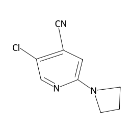 N#Cc1cc(N2CCC2)ncc1Cl